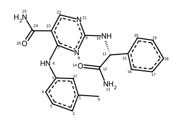 Cc1cccc(Nc2nc(N[C@@H](C(N)=O)c3ccccc3)ncc2C(N)=O)c1